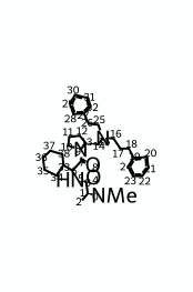 CN[C@@H](C)C(=O)N[C@H](C(=O)N1CCC[C@H]1CN(CCCc1ccccc1)CCc1ccccc1)C1CCCCC1